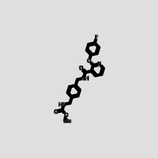 CC(C)(C)OC(=O)NCc1ccc(CNC(=O)c2cccnc2Oc2ccc(F)cc2)cc1